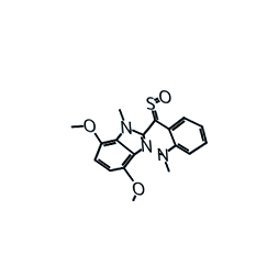 COc1ccc(OC)c2c1nc(C(=S=O)c1ccccc1N(C)C)n2C